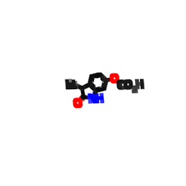 CCC1C(=O)Nc2cc(OC(=O)O)ccc21